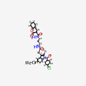 COc1ccc2c(c1)c(CC(=O)NCCCNC(=O)c1cc3ccccc3oc1=O)c(C)n2C(=O)c1ccc(Cl)cc1